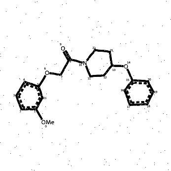 COc1cccc(OCC(=O)N2CCC(Oc3ccccc3)CC2)c1